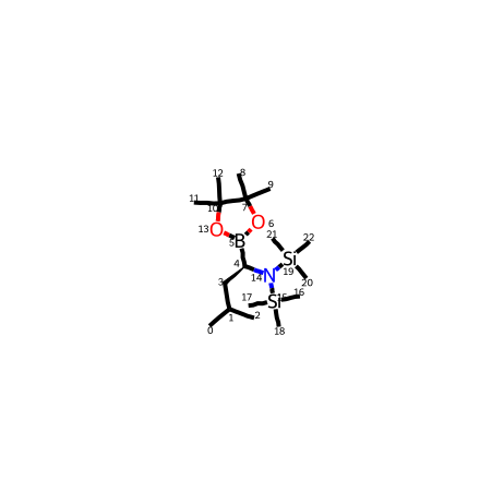 CC(C)C[C@@H](B1OC(C)(C)C(C)(C)O1)N([Si](C)(C)C)[Si](C)(C)C